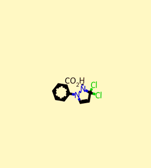 O=C(O)N1N(c2ccccc2)C=CC1(Cl)Cl